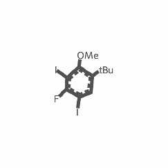 COc1c(C(C)(C)C)cc(I)c(F)c1I